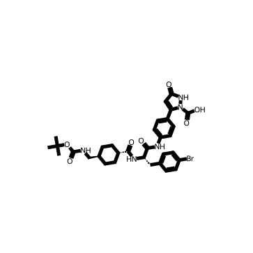 CC(C)(C)OC(=O)NC[C@H]1CC[C@H](C(=O)N[C@@H](Cc2ccc(Br)cc2)C(=O)Nc2ccc(-c3cc(=O)[nH]n3C(=O)O)cc2)CC1